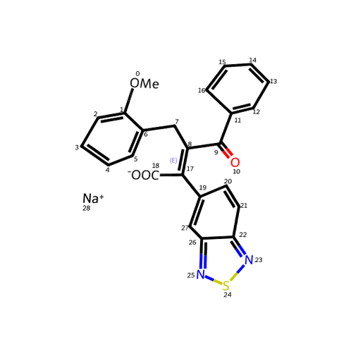 COc1ccccc1C/C(C(=O)c1ccccc1)=C(\C(=O)[O-])c1ccc2nsnc2c1.[Na+]